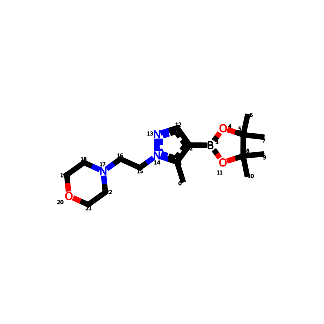 Cc1c(B2OC(C)(C)C(C)(C)O2)cnn1CCN1CCOCC1